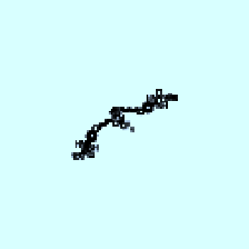 CC(C)(C)OC(=O)NC(=N)c1ccc(OCCCCCn2ccn(CCCCCOc3ccc(C(=N)NC(=O)OC(C)(C)C)cc3)c2=NC(=O)C(F)(F)F)cc1